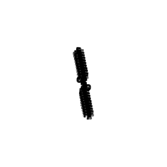 O=C(C=CC(=O)OC(F)(F)C(F)(F)C(F)(F)C(F)(F)C(F)(F)C(F)(F)C(F)(F)C(F)(F)C(F)(F)C(F)(F)F)OC(F)(F)C(F)(F)C(F)(F)C(F)(F)C(F)(F)C(F)(F)C(F)(F)C(F)(F)C(F)(F)C(F)(F)F